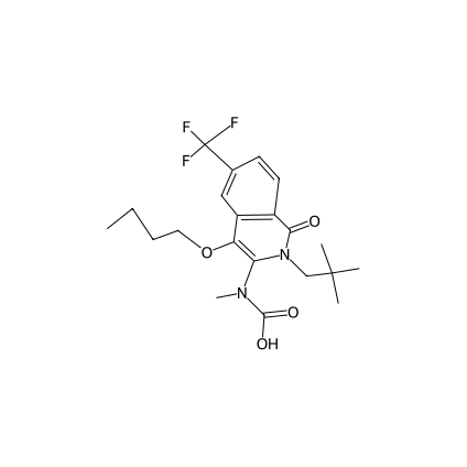 CCCCOc1c(N(C)C(=O)O)n(CC(C)(C)C)c(=O)c2ccc(C(F)(F)F)cc12